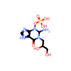 NC1N(CC(O)CO)C(=O)c2[nH]cnc2N1OP(=O)(O)O